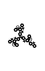 CC1(C)c2ccccc2-c2ccc(-c3cc4c(c5c3oc3ccccc35)-c3ccc(N(c5ccc6c(c5)C(C)(C)c5c7c(c8oc9ccccc9c8c5-6)-c5ccccc5C7(C)C)c5ccc6c(c5)C(C)(C)c5c7c(c8oc9ccccc9c8c5-6)-c5ccccc5C7(C)C)cc3C4(C)C)cc21